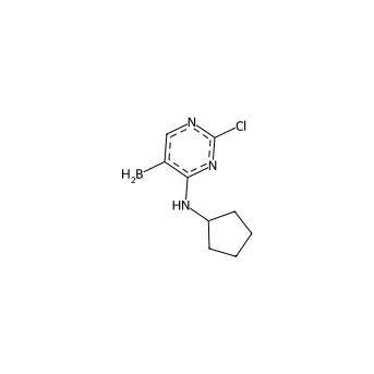 Bc1cnc(Cl)nc1NC1CCCC1